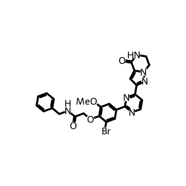 COc1cc(-c2nccc(-c3cc4n(n3)CCNC4=O)n2)cc(Br)c1OCC(=O)NCc1ccccc1